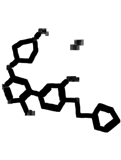 CCCCc1nnc(OC2CCN(C)CC2)cc1-c1ccc(OCc2ccccc2)c(OC)c1.Cl.Cl